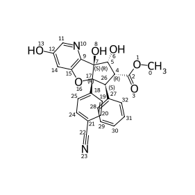 COC(=O)[C@H]1[C@@H](O)[C@@]2(O)c3ncc(O)cc3O[C@@]2(c2ccc(C#N)cc2)[C@@H]1c1ccccc1